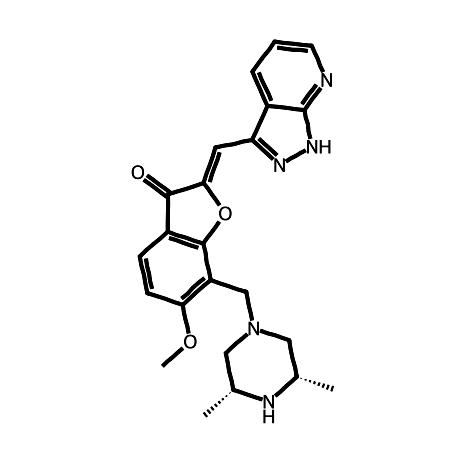 COc1ccc2c(c1CN1C[C@@H](C)N[C@@H](C)C1)O/C(=C\c1n[nH]c3ncccc13)C2=O